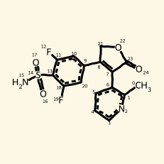 Cc1ncccc1C1=C(c2cc(F)c(S(N)(=O)=O)c(F)c2)COC1=O